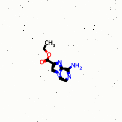 CCOC(=O)c1cn2ccnc(N)c2n1